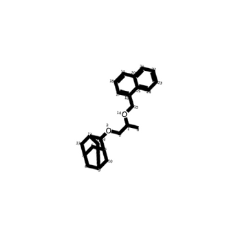 CC(COC1C2CC3CC(C2)CC1C3)OCc1cccc2ccccc12